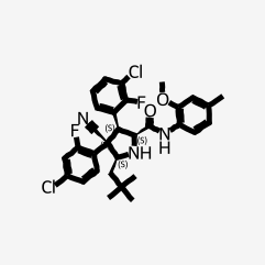 COc1cc(C)ccc1NC(=O)[C@H]1N[C@@H](CC(C)(C)C)[C@](C#N)(c2ccc(Cl)cc2F)[C@H]1c1cccc(Cl)c1F